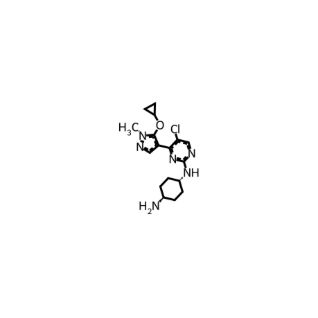 Cn1ncc(-c2nc(N[C@H]3CC[C@H](N)CC3)ncc2Cl)c1OC1CC1